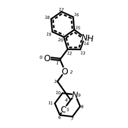 O=C(OCC1CC2CCN1CC2)c1c[nH]c2ccccc12